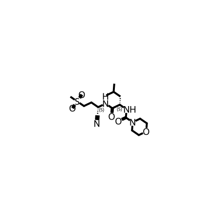 CC(C)C[C@H](NC(=O)N1CCOCC1)C(=O)N[C@H](C#N)CCS(C)(=O)=O